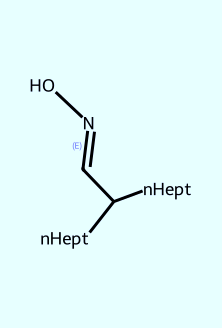 CCCCCCCC(/C=N/O)CCCCCCC